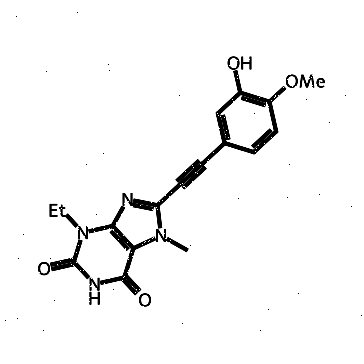 CCn1c(=O)[nH]c(=O)c2c1nc(C#Cc1ccc(OC)c(O)c1)n2C